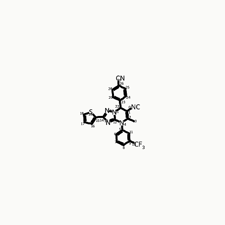 [C-]#[N+]C1=C(C)N(c2cccc(C(F)(F)F)c2)c2nc(-c3cccs3)nn2C1c1ccc(C#N)cc1